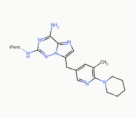 CCC[C@@H](C)Nc1nc(N)c2ncc(Cc3cnc(N4CCCCC4)c(C)c3)n2n1